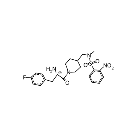 CN(CC1CCN(C(=O)[C@@H](N)Cc2ccc(F)cc2)CC1)S(=O)(=O)c1ccccc1[N+](=O)[O-]